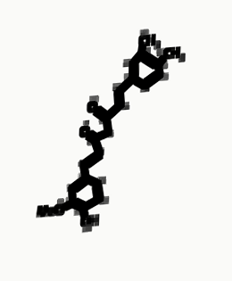 COc1cc(C=CC(=O)CC(=O)C=Cc2ccc(C)c(C)c2)ccc1O